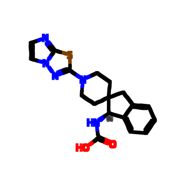 O=C(O)N[C@@H]1c2ccccc2CC12CCN(c1nn3ccnc3s1)CC2